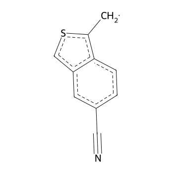 [CH2]c1scc2cc(C#N)ccc12